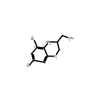 CC(=O)OCC1COc2cc(Cl)cc(Br)c2N1